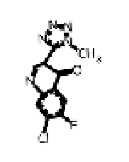 Cn1nnnc1C1C=Nc2cc(Cl)c(F)cc2C1=O